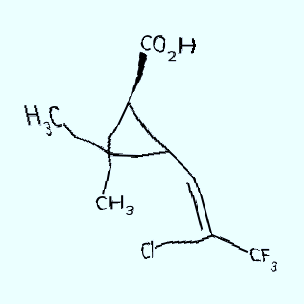 CC1(C)C(/C=C(\Cl)C(F)(F)F)[C@@H]1C(=O)O